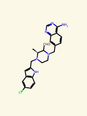 C[C@H]1C(C=O)N(Cc2ccc3c(N)ncnc3c2)CCN1Cc1cc2cc(Cl)ccc2[nH]1